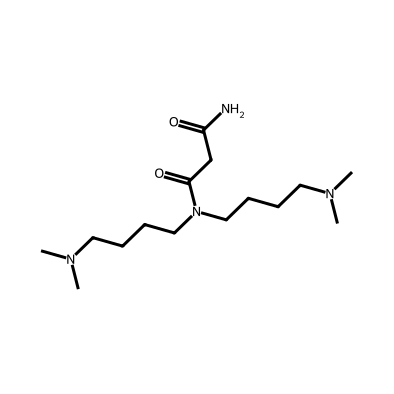 CN(C)CCCCN(CCCCN(C)C)C(=O)CC(N)=O